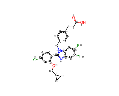 O=C(O)CCc1ccc(Cn2c(-c3ccc(Cl)cc3OCC3CC3)nc3cc(F)c(F)cc32)cc1